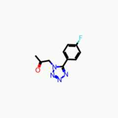 CC(=O)Cn1nnnc1-c1ccc(F)cc1